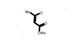 COC(=O)/C=C(\Cl)C(C)(C)C